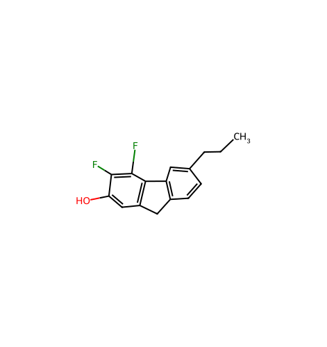 CCCc1ccc2c(c1)-c1c(cc(O)c(F)c1F)C2